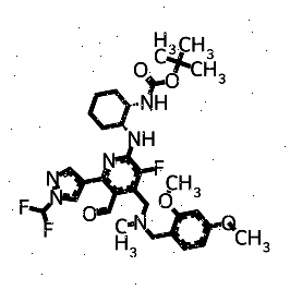 COc1ccc(CN(C)Cc2c(F)c(N[C@@H]3CCCC[C@@H]3NC(=O)OC(C)(C)C)nc(-c3cnn(C(F)F)c3)c2C=O)c(OC)c1